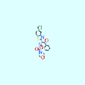 O=C(/C(=N\OC(=O)N1CCOCC1)c1nc2cc(Cl)ccc2s1)c1ccccc1